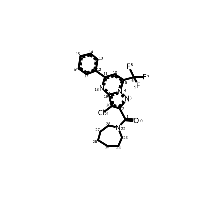 O=C(c1nn2c(C(F)(F)F)cc(-c3ccccc3)nc2c1Cl)N1CCCCCC1